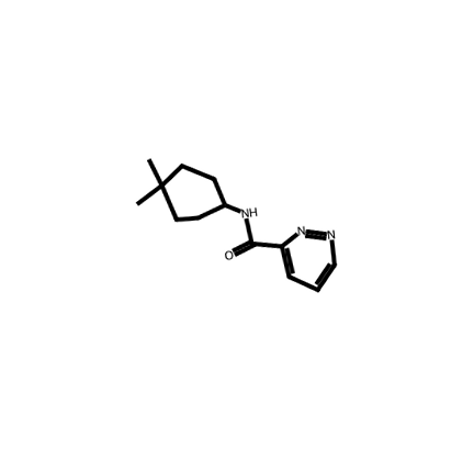 CC1(C)CCC(NC(=O)c2cccnn2)CC1